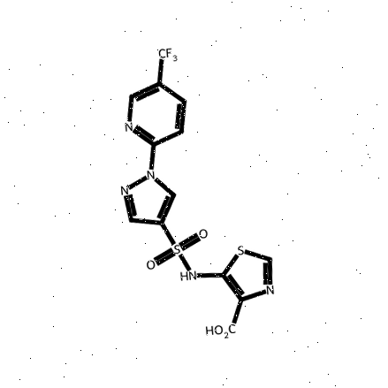 O=C(O)c1ncsc1NS(=O)(=O)c1cnn(-c2ccc(C(F)(F)F)cn2)c1